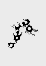 C[C@H]1C[C@@H](c2ccncc2NC(=O)c2nc(-c3c(F)cc(OC4CCOCC4)cc3F)sc2N)C[C@@H](N)[C@@H]1O